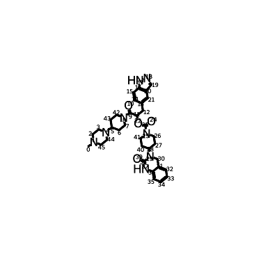 CN1CCN(C2CCN(C(=O)C(Cc3ccc4[nH]ncc4c3)OC(=O)N3CCC(N4Cc5ccccc5NC4=O)CC3)CC2)CC1